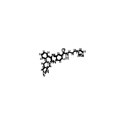 Cn1cc2c(n1)CN(c1nc3ccc(C(=O)NCCCn4ccnc4)cc3nc1-c1ccccc1)CC2